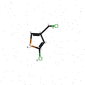 ClCc1csc(Cl)c1